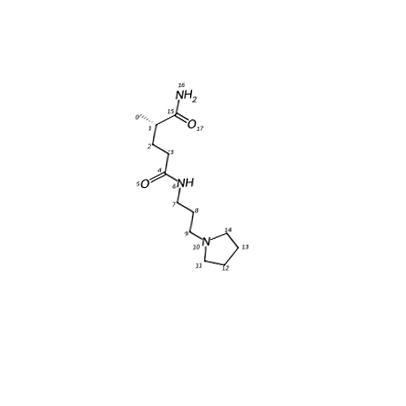 C[C@@H](C[CH]C(=O)NCCCN1CCCC1)C(N)=O